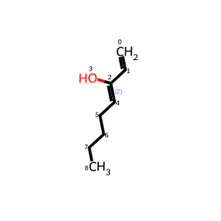 C=C/C(O)=C/CCCC